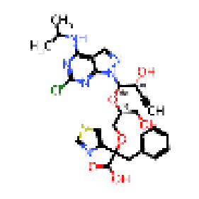 C#C[C@@H](O)[C@@H](O[C@@H](CO)COC(Cc1ccccc1)(C(=O)O)c1cscn1)n1ncc2c(NC(C)C)nc(Cl)nc21